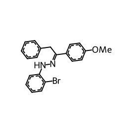 COc1ccc(C(Cc2ccccc2)=NNc2ccccc2Br)cc1